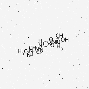 Cc1ncc(-c2ccnc(Nc3ccc(S(=O)(=O)NCC(C)(C)CO)cc3)n2)n1C